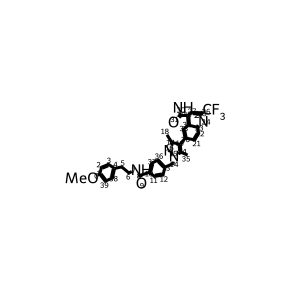 COc1ccc(CCNC(=O)c2ccc(Cn3nc(C)c(-c4ccc5nc(C(F)(F)F)cc(C(N)=O)c5c4)c3C)cc2)cc1